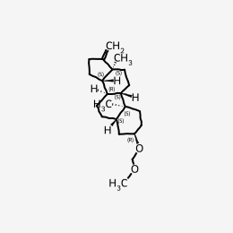 C=C1CC[C@H]2[C@@H]3CC[C@H]4C[C@H](OCOC)CC[C@]4(C)[C@H]3CC[C@]12C